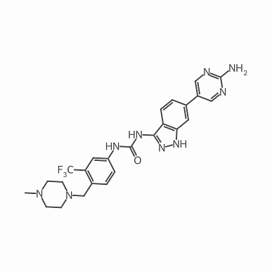 CN1CCN(Cc2ccc(NC(=O)Nc3n[nH]c4cc(-c5cnc(N)nc5)ccc34)cc2C(F)(F)F)CC1